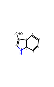 O=CC1=CNC2C=CC=CC12